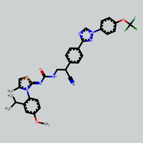 COc1ccc(-n2c(C)cs/c2=N\C(=O)NCC(C#N)c2ccc(-c3ncn(-c4ccc(OC(F)(F)F)cc4)n3)cc2)c(C(C)C)c1